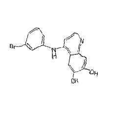 Oc1cc2nccc(Nc3cccc(Br)c3)c2cc1O